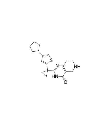 O=c1[nH]c(C2(c3cc(C4CCCC4)cs3)CC2)nc2c1CNCC2